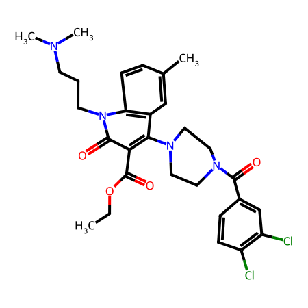 CCOC(=O)c1c(N2CCN(C(=O)c3ccc(Cl)c(Cl)c3)CC2)c2cc(C)ccc2n(CCCN(C)C)c1=O